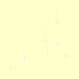 CN1CCC2(CC1)OC(=O)CN2C